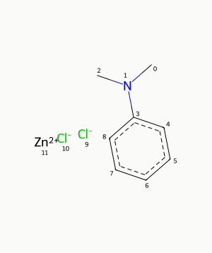 CN(C)c1ccccc1.[Cl-].[Cl-].[Zn+2]